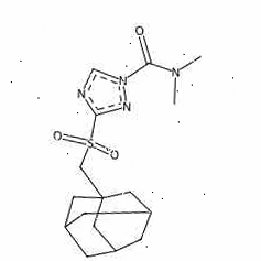 CN(C)C(=O)n1cnc(S(=O)(=O)CC23CC4CC(CC(C4)C2)C3)n1